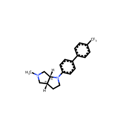 CN1C[C@H]2CCN(c3ccc(-c4ccc(C(F)(F)F)cc4)cc3)[C@H]2C1